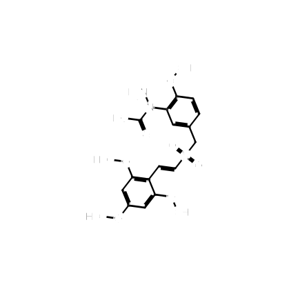 COc1cc(OC)c(C=CS(=O)(=O)Cc2ccc(OC)c(N(N)C(C)=O)c2)c(OC)c1